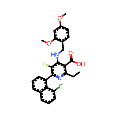 CCc1nc(-c2cccc3cccc(Cl)c23)c(F)c(NCc2ccc(OC)cc2OC)c1C(=O)O